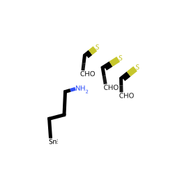 NCC[CH2][Sn].O=CC=S.O=CC=S.O=CC=S